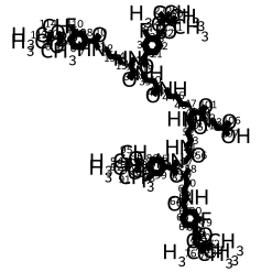 CC1(C)OB(c2ccc(C(=O)NCCCC[C@H](NC(=O)c3ccc(B4OC(C)(C)C(C)(C)O4)c(F)c3)C(=O)NCCC(=O)NCCCC[C@H](NC(=O)CCNC(=O)[C@H](CCCCNC(=O)c3ccc(B4OC(C)(C)C(C)(C)O4)c(F)c3)NC(=O)c3ccc(B4OC(C)(C)C(C)(C)O4)c(F)c3)C(=O)NCCC(=O)O)cc2F)OC1(C)C